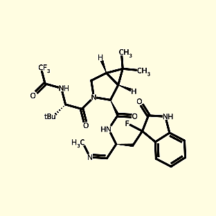 C/N=C\[C@H](CC1(F)C(=O)Nc2ccccc21)NC(=O)[C@@H]1[C@@H]2[C@H](CN1C(=O)[C@@H](NC(=O)C(F)(F)F)C(C)(C)C)C2(C)C